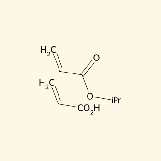 C=CC(=O)O.C=CC(=O)OC(C)C